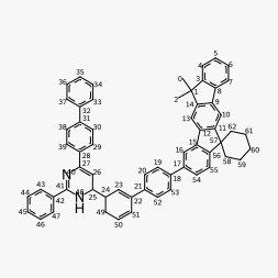 CC1(C)c2ccccc2-c2cc3c(cc21)-c1cc(-c2ccc(C4=CC(C5C=C(c6ccc(-c7ccccc7)cc6)N=C(c6ccccc6)N5)CC=C4)cc2)ccc1C31CCCCC1